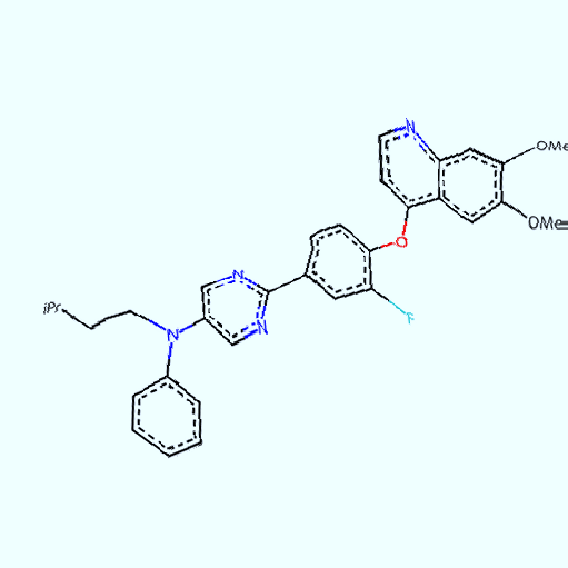 COc1cc2nccc(Oc3ccc(-c4ncc(N(CCC(C)C)c5ccccc5)cn4)cc3F)c2cc1OC